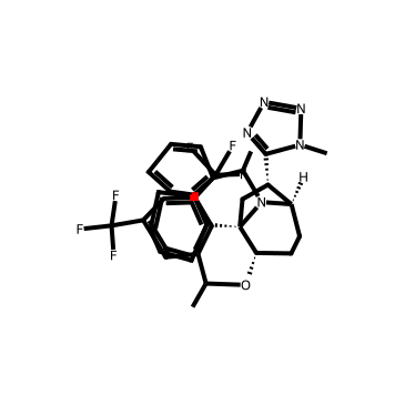 CC(O[C@H]1CC[C@@H]2[C@@H](c3nnnn3C)C[C@@]1(c1ccccc1)N2C(C)c1ccccc1)c1cc(C(F)(F)F)cc(C(F)(F)F)c1